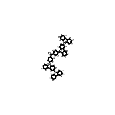 O=C(c1ccc(-n2c3ccccc3c3cc(-n4c5ccccc5c5ccccc54)ccc32)cc1)c1ccc(-n2c3ccccc3c3cc(-n4c5ccccc5c5ccccc54)ccc32)cc1